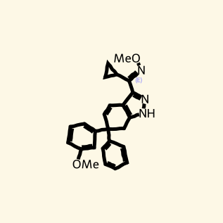 CO/N=C(/c1n[nH]c2c1C=CC(c1ccccc1)(c1cccc(OC)c1)C2)C1CC1